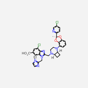 CCn1ccnc1Cn1c(CN2CCN(c3cccc4c3O[C@@](C)(c3ccc(Cl)cn3)O4)[C@H]3CC[C@H]32)nc2c(Cl)cc(C(=O)O)cc21